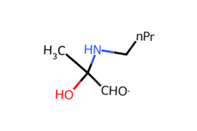 CCCCNC(C)(O)[C]=O